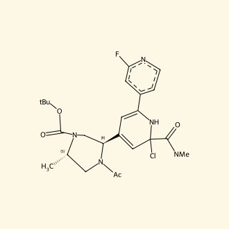 CNC(=O)C1(Cl)C=C([C@@H]2CN(C(=O)OC(C)(C)C)[C@@H](C)CN2C(C)=O)C=C(c2ccnc(F)c2)N1